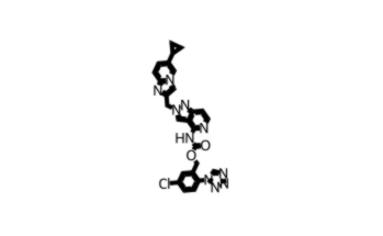 O=C(Nc1nccc2nn(Cc3cn4cc(C5CC5)ccc4n3)cc12)OCc1cc(Cl)ccc1-n1cnnn1